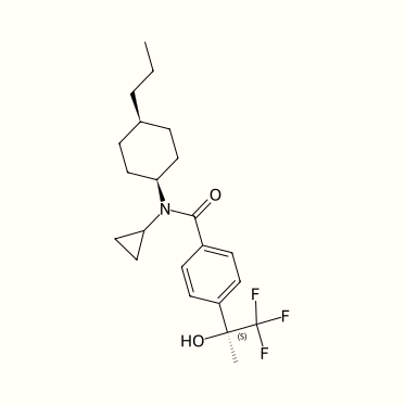 CCC[C@H]1CC[C@@H](N(C(=O)c2ccc([C@](C)(O)C(F)(F)F)cc2)C2CC2)CC1